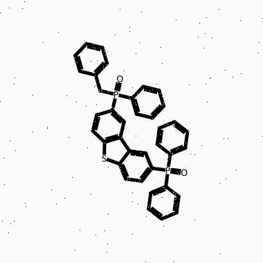 O=P(Cc1ccccc1)(c1ccccc1)c1ccc2sc3ccc(P(=O)(c4ccccc4)c4ccccc4)cc3c2c1